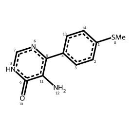 CSc1ccc(-c2nc[nH]c(=O)c2N)cc1